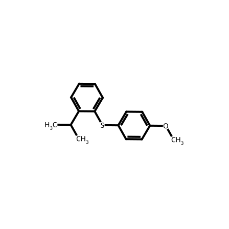 COc1ccc(Sc2ccccc2C(C)C)cc1